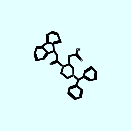 O=C(O)OC1CN(C(c2ccccc2)c2ccccc2)CCN1C(=O)CC1c2ccccc2-c2ccccc21